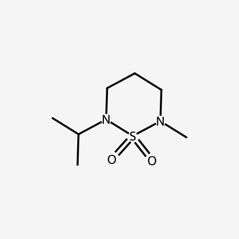 CC(C)N1CCCN(C)S1(=O)=O